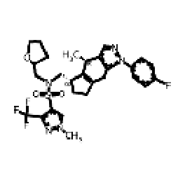 C[C@@H]1C2=C(CC[C@@H]2CN(CC2CCCO2)S(=O)(=O)c2cn(C)nc2C(F)(F)F)Cc2c1cnn2-c1ccc(F)cc1